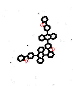 c1ccc2c(c1)oc1cc(-c3c4ccccc4c(-c4ccc5c(c4)oc4cccc(-c6c7ccccc7c(-c7ccc8c(c7)oc7ccccc78)c7ccccc67)c45)c4ccccc34)ccc12